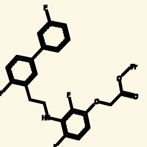 CC(C)OC(=O)COc1ccc(F)c(NCCc2cc(-c3cccc(F)c3)ccc2F)c1F